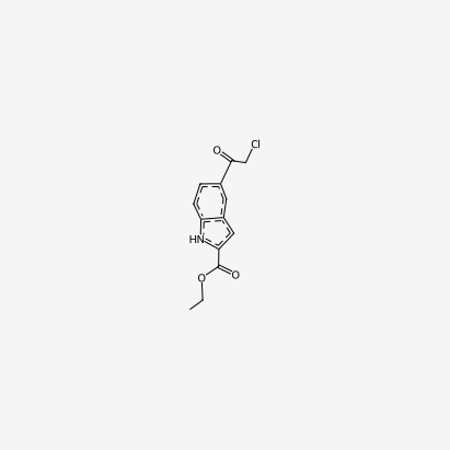 CCOC(=O)c1cc2cc(C(=O)CCl)ccc2[nH]1